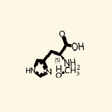 CO.N[C@@H](Cc1c[nH]cn1)C(=O)O